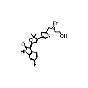 CCN(CCO)Cc1cc(C2=CC(=C3C(=O)Nc4cc(F)ccc43)OC2(C)C)cs1